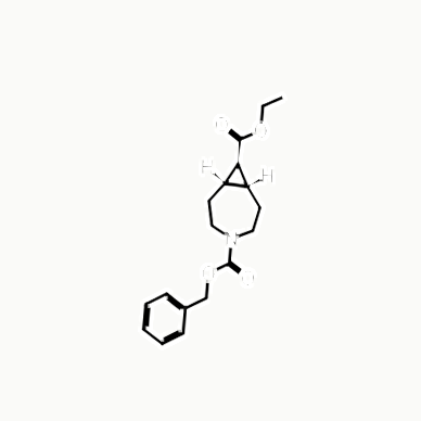 CCOC(=O)[C@H]1[C@@H]2CCN(C(=O)OCc3ccccc3)CC[C@@H]21